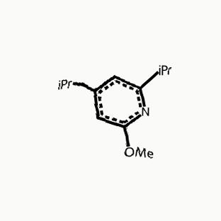 COc1cc(C(C)C)cc(C(C)C)n1